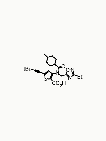 CCc1noc(CN(C(=O)C2CCC(C)CC2)c2cc(C#CC(C)(C)C)sc2C(=O)O)n1